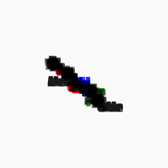 COC(=O)C(Cc1ccc(OCc2ccccc2)cc1)NC(=O)c1cn2cc(-c3c(F)cc(OC)cc3F)ccc2n1